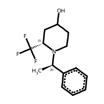 C[C@H](c1ccccc1)N1CCC(O)C[C@H]1C(F)(F)F